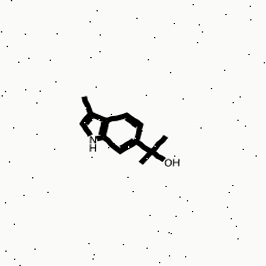 Cc1c[nH]c2cc(C(C)(C)O)ccc12